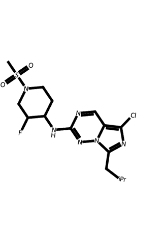 CC(C)Cc1nc(Cl)c2cnc(NC3CCN(S(C)(=O)=O)CC3F)nn12